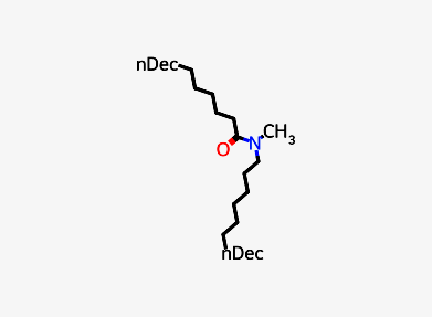 CCCCCCCCCCCCCCCCN(C)C(=O)CCCCCCCCCCCCCCC